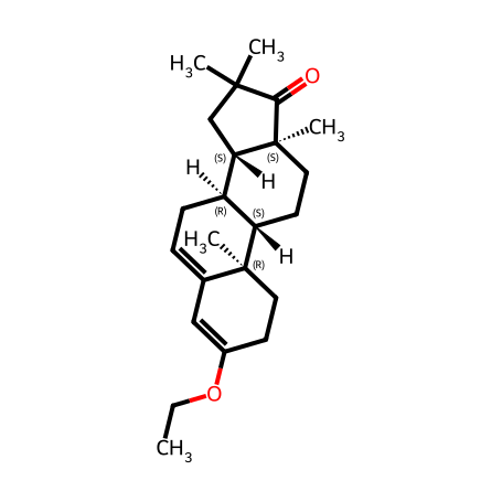 CCOC1=CC2=CC[C@@H]3[C@H](CC[C@]4(C)C(=O)C(C)(C)C[C@@H]34)[C@@]2(C)CC1